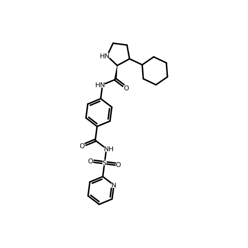 O=C(NS(=O)(=O)c1ccccn1)c1ccc(NC(=O)[C@H]2NCCC2C2CCCCC2)cc1